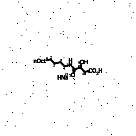 CCCCCCCCCCCCNC(=O)C(O)CC(=O)O.[NaH]